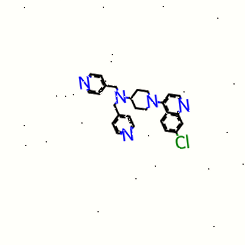 Clc1ccc2c(N3CCC(N(Cc4ccncc4)Cc4ccncc4)CC3)ccnc2c1